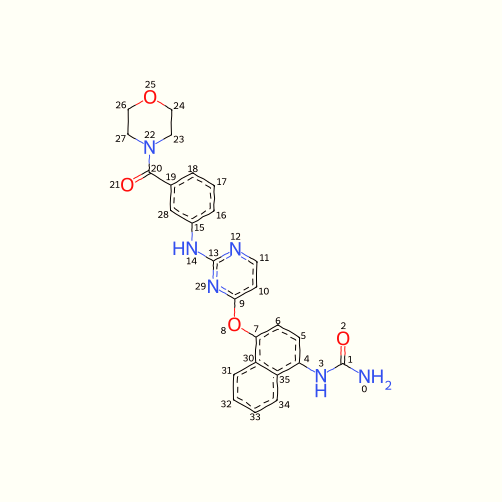 NC(=O)Nc1ccc(Oc2ccnc(Nc3cccc(C(=O)N4CCOCC4)c3)n2)c2ccccc12